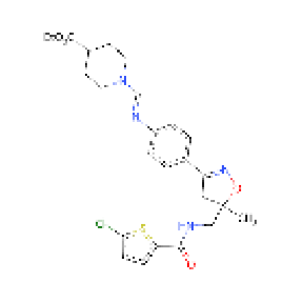 CCOC(=O)C1CCN(C=Nc2ccc(C3=NOC(C)(CNC(=O)c4ccc(Cl)s4)C3)cc2)CC1